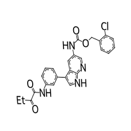 CCC(=O)C(=O)Nc1cccc(-c2c[nH]c3ncc(NC(=O)OCc4ccccc4Cl)cc23)c1